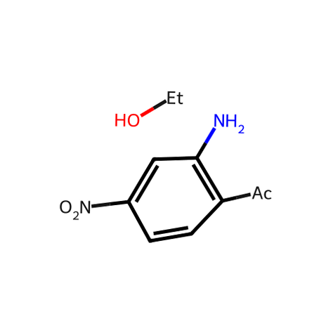 CC(=O)c1ccc([N+](=O)[O-])cc1N.CCO